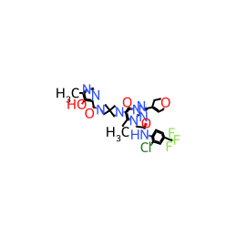 CCc1c(N2CC3(CN(C(=O)c4ncnc(C)c4O)C3)C2)c(=O)n2nc(C3=CCOCC3)nc2n1CC(=O)Nc1ccc(C(F)(F)F)cc1Cl